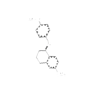 COc1ccc(/N=C2\CCCc3cc(OC)ccc32)cc1